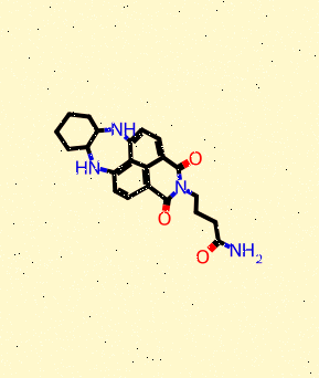 NC(=O)CCCN1C(=O)c2ccc3c4c(ccc(c24)C1=O)NC1CCCCC1N3